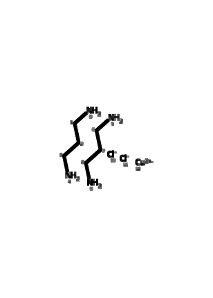 NCCCN.NCCCN.[Cl-].[Cl-].[Cu+2]